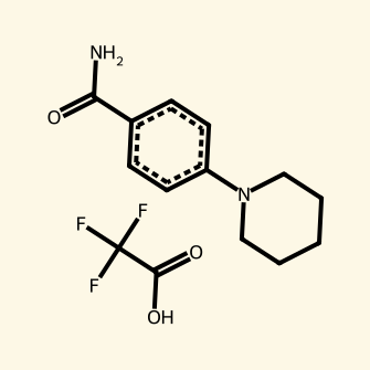 NC(=O)c1ccc(N2CCCCC2)cc1.O=C(O)C(F)(F)F